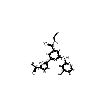 CCOC(=O)c1cc(Nc2cc(C)ccn2)nc(-c2ccc(C(C)=O)s2)c1